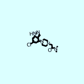 CN(C)C(=O)CN1CCN(c2cc(Cl)cc3[nH]ncc23)CC1